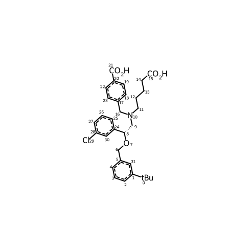 CC(C)(C)c1cccc(CO[C@@H](CN(CCCCC(=O)O)Cc2ccc(C(=O)O)cc2)c2cccc(Cl)c2)c1